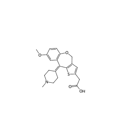 COc1ccc2c(c1)C(=C1CCN(C)CC1)c1sc(CC(=O)O)cc1CO2